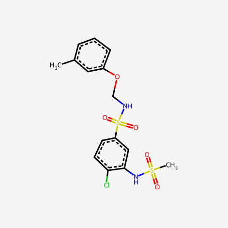 Cc1cccc(OCNS(=O)(=O)c2ccc(Cl)c(NS(C)(=O)=O)c2)c1